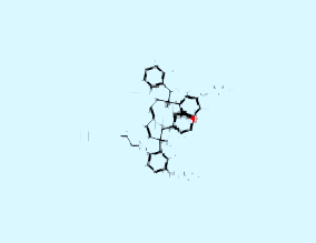 C=C(/C=C/C=C1/N(CCC(=O)O)c2ccc(OC)cc2C1(C)Cc1ccccc1)C(C)(Cc1ccccc1)c1cc(OC)ccc1C